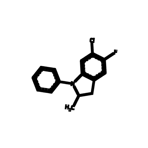 CC1Cc2cc(F)c(Cl)cc2N1c1ccccc1